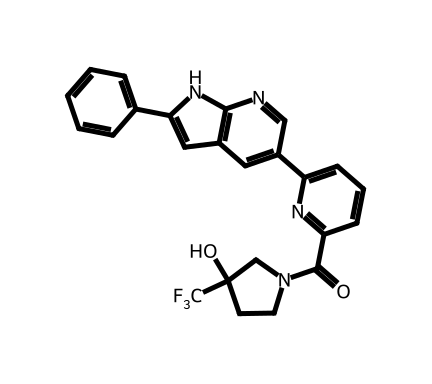 O=C(c1cccc(-c2cnc3[nH]c(-c4ccccc4)cc3c2)n1)N1CCC(O)(C(F)(F)F)C1